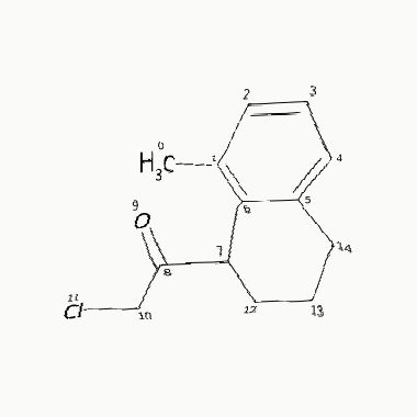 Cc1cccc2c1C(C(=O)CCl)CCC2